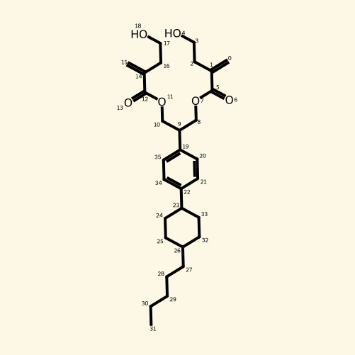 C=C(CCO)C(=O)OCC(COC(=O)C(=C)CCO)c1ccc(C2CCC(CCCCC)CC2)cc1